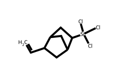 C=CC1CC2CC1CC2[Si](Cl)(Cl)Cl